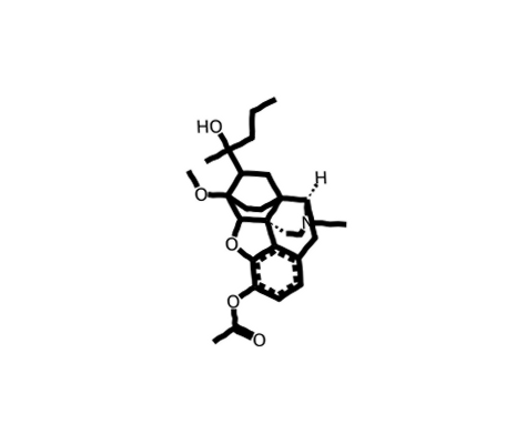 CCCC(C)(O)C1CC23CCC1(OC)C1Oc4c(OC(C)=O)ccc5c4[C@@]12CCN(C)[C@@H]3C5